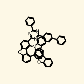 c1ccc(-c2ccc(-c3nc(-c4ccccc4)nc(-c4ccc5oc6cccc(-c7cccc8c7oc7ccccc78)c6c5c4-n4c5ccccc5c5ccccc54)n3)cc2)cc1